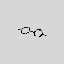 C=C(C)/N=C\C(=C)N1CCNCC1